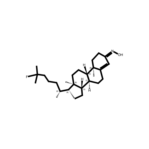 C[C@H](CCCC(C)(C)F)[C@H]1CC[C@H]2[C@@H]3CCC4=CC(=NO)CC[C@]4(C)[C@H]3CC[C@]12C